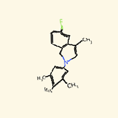 CNc1c(C)cc(N2CC=C(C)c3cc(F)ccc3C2)cc1C